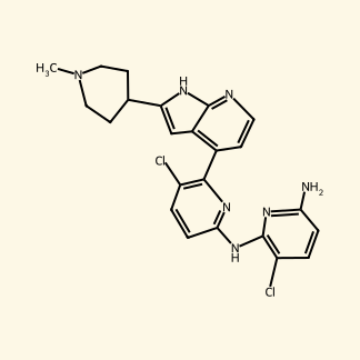 CN1CCC(c2cc3c(-c4nc(Nc5nc(N)ccc5Cl)ccc4Cl)ccnc3[nH]2)CC1